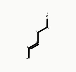 CC=CCC[S]